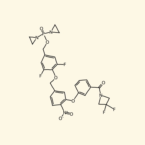 O=C(c1cccc(Oc2cc(COc3c(F)cc(COP(=O)(N4CC4)N4CC4)cc3F)ccc2[N+](=O)[O-])c1)N1CC(F)(F)C1